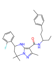 CCC(CCc1ccc(C)cc1)NC(=O)c1c(C)nn2c1NC(c1ccccc1F)CC2(C)C